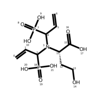 C=CC(N(C(C=C)P(=O)(O)O)[C@@H](CCO)C(=O)O)P(=O)(O)O